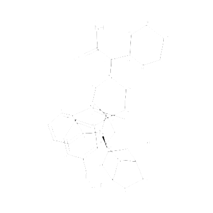 Cc1nc2ccccc2n1[C@H]1C[C@H]2CC[C@@H](C1)N2CCC1(c2cccc(F)c2)CCN(C(C(N)=O)C2CCCCC2)CC1